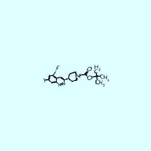 CC(C)(C)OC(=O)N1CCC(c2cc3c(F)cc(I)cc3nn2)CC1